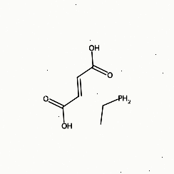 CCP.O=C(O)C=CC(=O)O